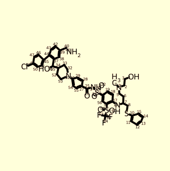 CN(CCO)CCC(CSc1ccccc1)Nc1ccc(S(=O)(=O)NC(=O)c2ccc(N3CCC(C(O)c4cc(CN)ccc4-c4ccc(Cl)cc4)CC3)cc2)cc1S(=O)(=O)C(F)(F)F